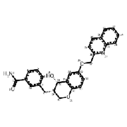 NC(=O)c1cccc(C[C@H]2COc3ccc(OCc4ccc5ccccc5n4)cc3[C@H]2O)c1